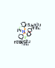 CCCC[Si](CCCC)(CCCC)c1cccc(P(c2ccccc2F)N(C(C)C)P(c2cccc([Si](CCCC)(CCCC)CCCC)c2)c2ccccc2F)c1